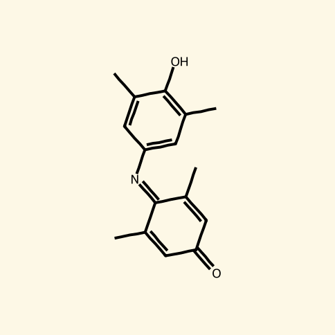 CC1=CC(=O)C=C(C)C1=Nc1cc(C)c(O)c(C)c1